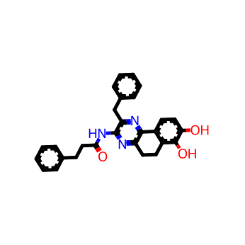 O=C(CCc1ccccc1)Nc1nc2c(nc1Cc1ccccc1)-c1ccc(O)c(O)c1CC2